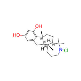 CC1(C)[C@@H]2CC[C@@]3(C)c4c(O)cc(O)cc4C[C@@H]3[C@@]2(C)CCCN1Cl